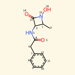 CC1C(NC(=O)Cc2ccccc2)C(=O)N1O